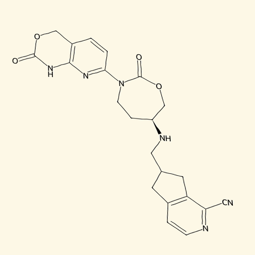 N#Cc1nccc2c1CC(CN[C@H]1CCN(c3ccc4c(n3)NC(=O)OC4)C(=O)OC1)C2